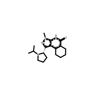 CC(C)N1CCC[C@H]1c1nn(C)c2[nH]c(=O)c3c(c12)CCCC3